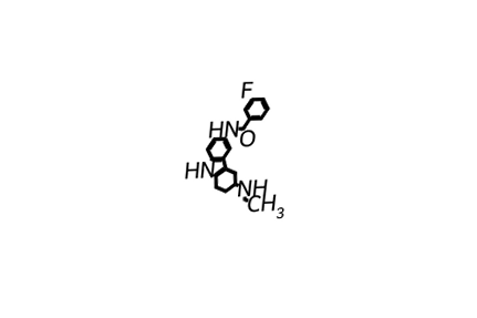 CCNC1CCc2[nH]c3ccc(NC(=O)c4cccc(F)c4)cc3c2C1